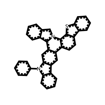 c1ccc(-n2c3ccccc3c3cc4c(cc32)c2c3ccccc3cn2c2c4ccc3c4ccccc4sc32)cc1